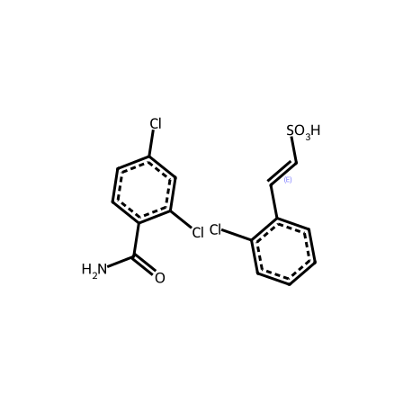 NC(=O)c1ccc(Cl)cc1Cl.O=S(=O)(O)/C=C/c1ccccc1Cl